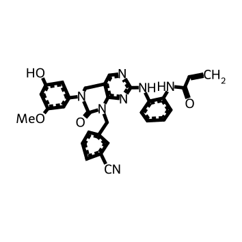 C=CC(=O)Nc1ccccc1Nc1ncc2c(n1)N(Cc1cccc(C#N)c1)C(=O)N(c1cc(O)cc(OC)c1)C2